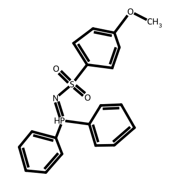 COc1ccc(S(=O)(=O)N=[PH](c2ccccc2)c2ccccc2)cc1